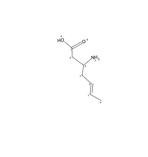 C/C=C/CC(N)CC(=O)O